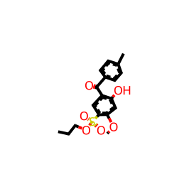 CCCOS(=O)(=O)c1cc(C(=O)c2ccc(C)cc2)c(O)cc1OC